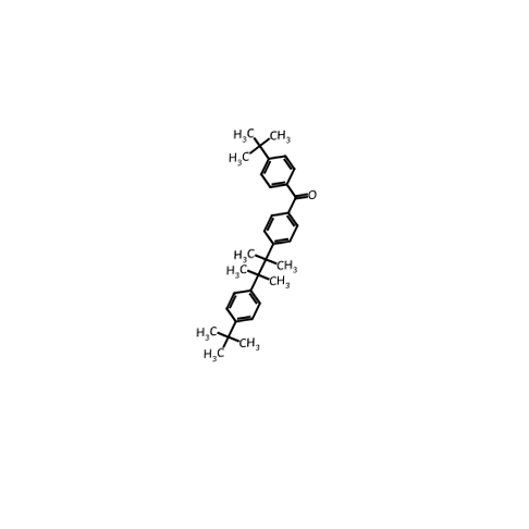 CC(C)(C)c1ccc(C(=O)c2ccc(C(C)(C)C(C)(C)c3ccc(C(C)(C)C)cc3)cc2)cc1